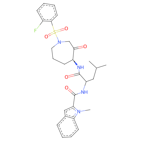 CC(C)CC(NC(=O)c1cc2ccccc2n1C)C(=O)N[C@H]1CCCN(S(=O)(=O)c2ccccc2F)CC1=O